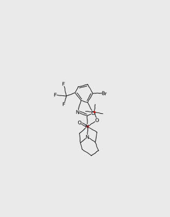 CC(C)(C)OC(=O)N1C2CCCC1CN(c1nc3c(C(F)(F)F)ccc(Br)c3o1)C2